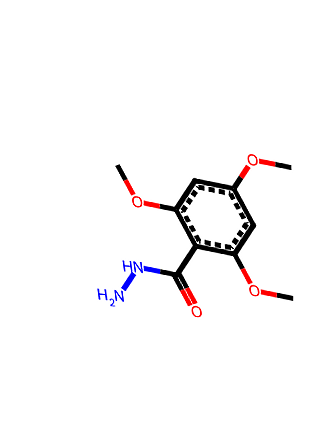 COc1cc(OC)c(C(=O)NN)c(OC)c1